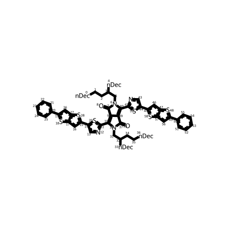 CCCCCCCCCCCCC(CCCCCCCCCC)CN1C(=O)C2=C(c3ncc(-c4cc5sc(-c6ccccc6)cc5s4)s3)N(CC(CCCCCCCCCC)CCCCCCCCCCCC)C(=O)C2=C1c1ncc(-c2cc3sc(-c4ccccc4)cc3s2)s1